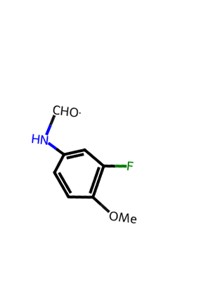 COc1ccc(N[C]=O)cc1F